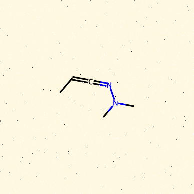 CC=C=NN(C)C